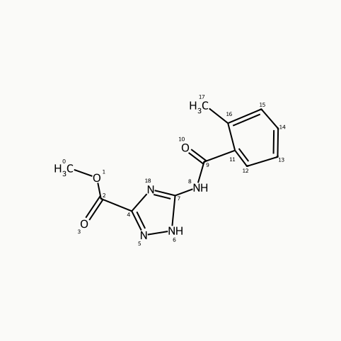 COC(=O)c1n[nH]c(NC(=O)c2ccccc2C)n1